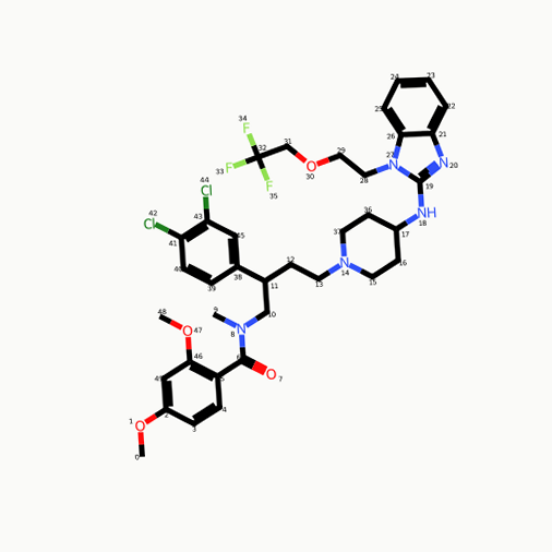 COc1ccc(C(=O)N(C)CC(CCN2CCC(Nc3nc4ccccc4n3CCOCC(F)(F)F)CC2)c2ccc(Cl)c(Cl)c2)c(OC)c1